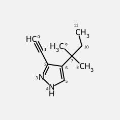 C#Cc1n[nH]cc1C(C)(C)CC